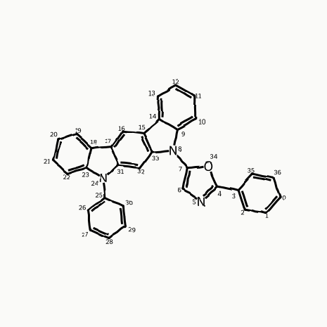 c1ccc(-c2ncc(-n3c4ccccc4c4cc5c6ccccc6n(-c6ccccc6)c5cc43)o2)cc1